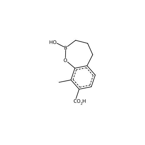 Cc1c(C(=O)O)ccc2c1OB(O)CCC2